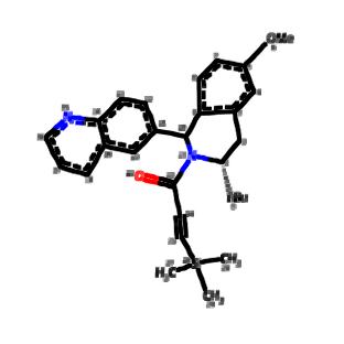 CCCC[C@H]1Cc2cc(OC)ccc2C(c2ccc3ncccc3c2)N1C(=O)C#C[Si](C)(C)C